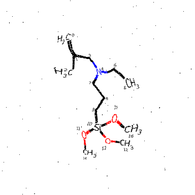 C=C(C)CN(CC)CCC[Si](OC)(OC)OC